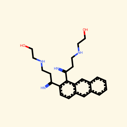 N=C(CCNCCO)c1ccc2cc3ccccc3cc2c1C(=N)CCNCCO